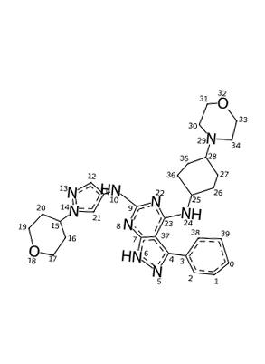 c1ccc(-c2n[nH]c3nc(Nc4cnn(C5CCOCC5)c4)nc(NC4CCC(N5CCOCC5)CC4)c23)cc1